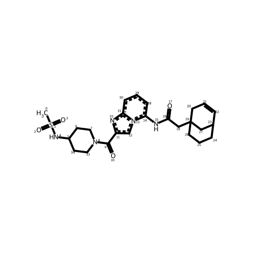 CS(=O)(=O)NC1CCN(C(=O)c2cn3c(NC(=O)CC45CC=CC(CCC4)C5)cccc3n2)CC1